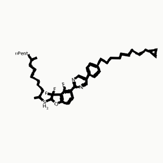 CCCCCC(C)CCCCCCC(C)[SiH2]C1Oc2ccc(-c3ncc(-c4ccc(CCCCCCCCCC5CC5)cc4)cn3)c(F)c2C1(F)F